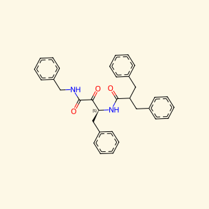 O=C(NCc1ccccc1)C(=O)[C@H](Cc1ccccc1)NC(=O)C(Cc1ccccc1)Cc1ccccc1